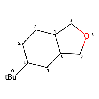 CC(C)(C)C1CCC2COCC2C1